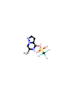 Bc1cn2nccc2c(OS(=O)(=O)C(F)(F)F)n1